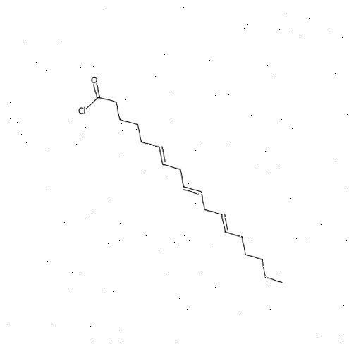 CCCCCC=CCC=CCC=CCCCCC(=O)Cl